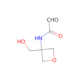 O=CC(=O)NC1(CO)COC1